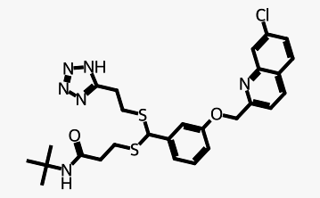 CC(C)(C)NC(=O)CCSC(SCCc1nnn[nH]1)c1cccc(OCc2ccc3ccc(Cl)cc3n2)c1